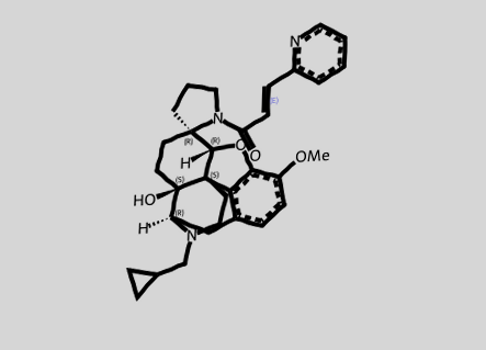 COc1ccc2c3c1O[C@H]1[C@@]4(CCCN4C(=O)/C=C/c4ccccn4)CC[C@@]4(O)[C@@H](C2)N(CC2CC2)CC[C@]314